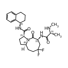 CN[C@@H](C)C(=O)N[C@H]1CC(F)(F)CC[C@H]2CC[C@@H](C(=O)N[C@@H]3CCCc4ccccc43)N2C1=O